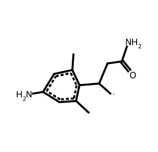 [CH2]C(CC(N)=O)c1c(C)cc(N)cc1C